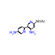 CC(=O)Nc1cc(N)c(-c2ccc(N)cn2)cn1